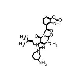 CC(C)=CCn1c(N2CCCC(N)C2)nc2c1c(=O)n(CC(=O)c1cccc3oc(=O)[nH]c13)c(=O)n2C